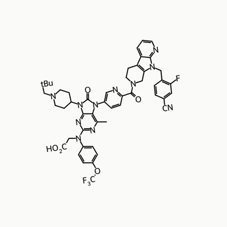 Cc1nc(N(CC(=O)O)c2ccc(OC(F)(F)F)cc2)nc2c1n(-c1ccc(C(=O)N3CCc4c(n(Cc5ccc(C#N)cc5F)c5ncccc45)C3)nc1)c(=O)n2C1CCN(CC(C)(C)C)CC1